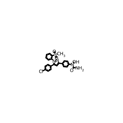 CS(=O)(=O)c1ccccc1-n1nc(-c2ccc(N(O)C(N)=O)cc2)cc1-c1ccc(Cl)cc1